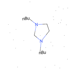 CCCCN1CCN(CCCC)C1